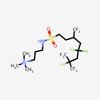 C[N+](C)(C)CCCNS(=O)(=O)CCC(CC(F)(F)CC(F)(C(F)(F)F)C(F)(F)F)C(F)(F)F